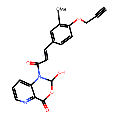 C#CCOc1ccc(/C=C/C(=O)N2c3cccnc3C(=O)OC2O)cc1OC